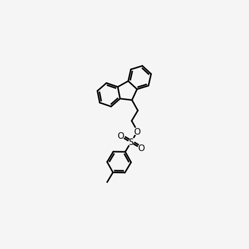 Cc1ccc(S(=O)(=O)OCCC2c3ccccc3-c3ccccc32)cc1